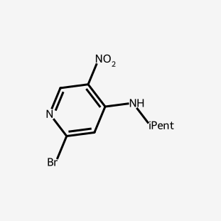 CCCC(C)Nc1cc(Br)ncc1[N+](=O)[O-]